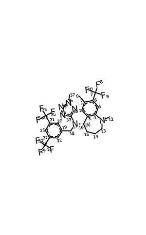 Cc1cc2c(cc1C(F)(F)F)N(C)CCC[C@@H]2N(Cc1cc(C(F)(F)F)cc(C(F)(F)F)c1)c1nnn(C)n1